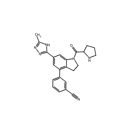 Cc1nnc(-c2cc(-c3cccc(C#N)c3)c3c(c2)N(C(=O)C2CCCN2)CC3)[nH]1